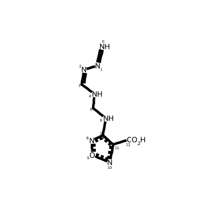 N=N/N=C\NCNc1nonc1C(=O)O